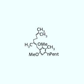 CCCCCc1cc(OC)c(C/C=C(\C)CCC=C(C)C)c(OC)c1C